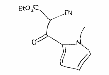 CCOC(=O)C(C#N)C(=O)c1cccn1C